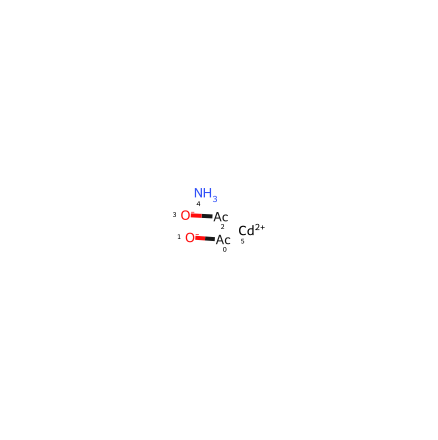 CC(=O)[O-].CC(=O)[O-].N.[Cd+2]